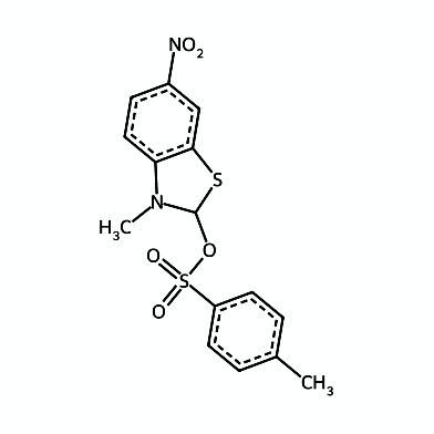 Cc1ccc(S(=O)(=O)OC2Sc3cc([N+](=O)[O-])ccc3N2C)cc1